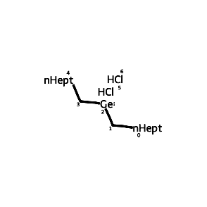 CCCCCCC[CH2][Ge][CH2]CCCCCCC.Cl.Cl